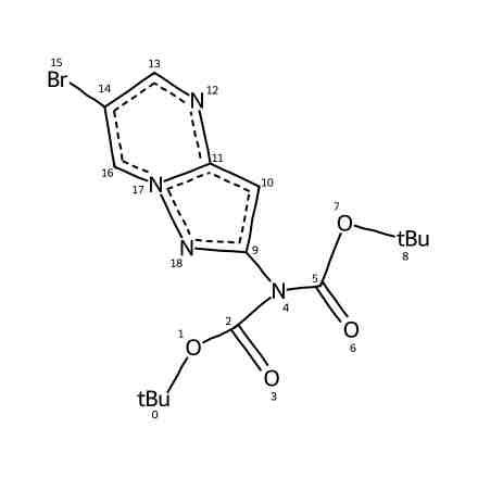 CC(C)(C)OC(=O)N(C(=O)OC(C)(C)C)c1cc2ncc(Br)cn2n1